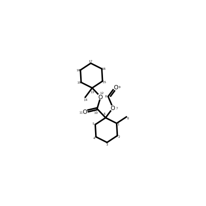 CC1CCCCC1(OC=O)C(=O)OC1(C)CCCCC1